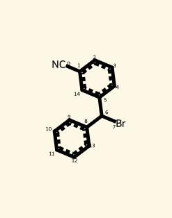 N#Cc1cccc(C(Br)c2ccccc2)c1